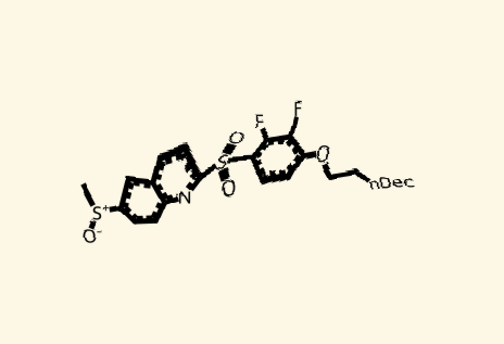 CCCCCCCCCCCCOc1ccc(S(=O)(=O)c2ccc3cc([S+](C)[O-])ccc3n2)c(F)c1F